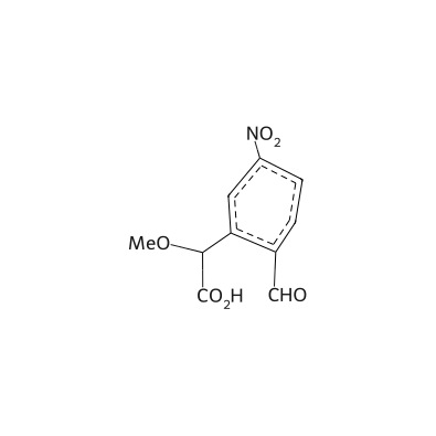 COC(C(=O)O)c1cc([N+](=O)[O-])ccc1C=O